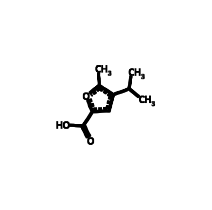 Cc1oc(C(=O)O)cc1C(C)C